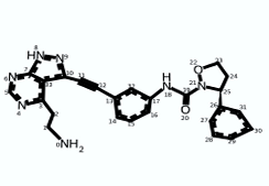 NCCc1ncnc2[nH]nc(C#Cc3cccc(NC(=O)N4OCC[C@H]4c4ccccc4)c3)c12